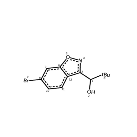 CC(C)(C)C(O)c1noc2cc(Br)ccc12